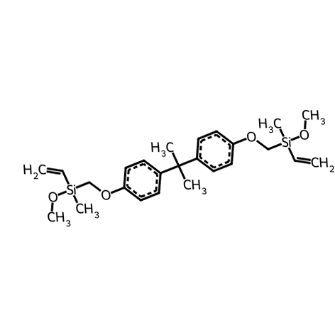 C=C[Si](C)(COc1ccc(C(C)(C)c2ccc(OC[Si](C)(C=C)OC)cc2)cc1)OC